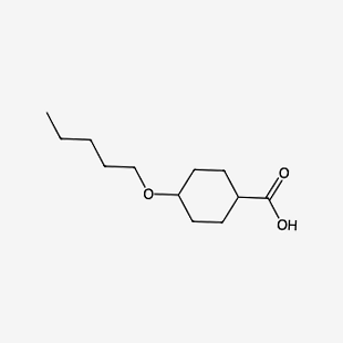 CCCCCOC1CCC(C(=O)O)CC1